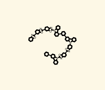 c1ccc(-c2ccc3c(c2)c2ccccc2n3-c2nc3ccc(-c4nc5ccc(-n6c7ccccc7c7cc(-c8cccc(-c9cccc%10c9c9ccccc9n%10-c9nc%10ccc(-c%11nc%12ccc(-c%13nc%14ccccc%14o%13)cc%12o%11)cc%10o9)c8)ccc76)cc5o4)cc3o2)cc1